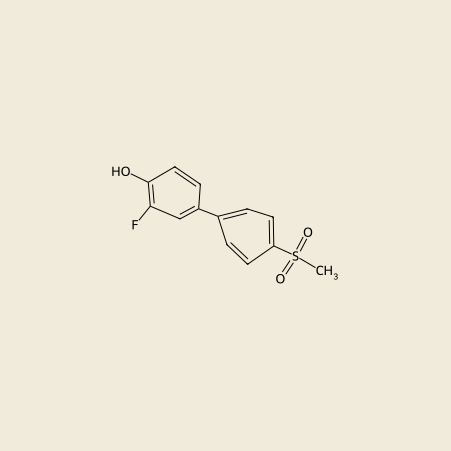 CS(=O)(=O)c1ccc(-c2ccc(O)c(F)c2)cc1